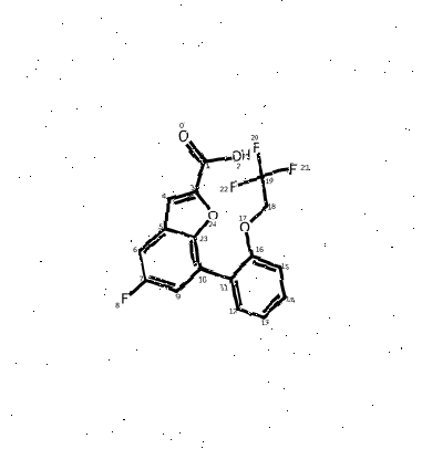 O=C(O)c1cc2cc(F)cc(-c3ccccc3OCC(F)(F)F)c2o1